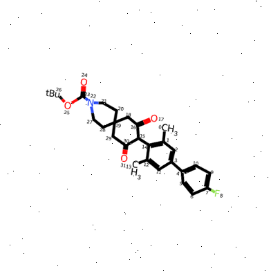 Cc1cc(-c2ccc(F)cc2)cc(C)c1C1C(=O)CC2(CCN(C(=O)OC(C)(C)C)CC2)CC1=O